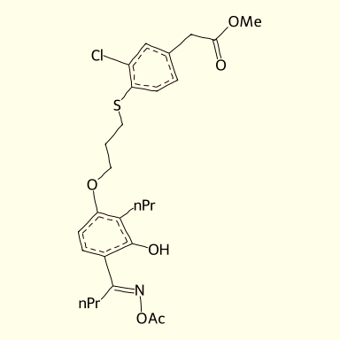 CCCC(=NOC(C)=O)c1ccc(OCCCSc2ccc(CC(=O)OC)cc2Cl)c(CCC)c1O